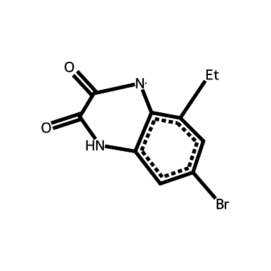 CCc1cc(Br)cc2c1[N]C(=O)C(=O)N2